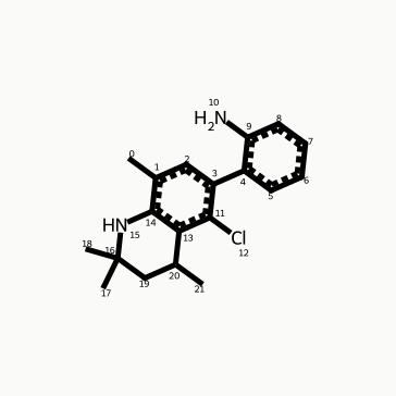 Cc1cc(-c2ccccc2N)c(Cl)c2c1NC(C)(C)CC2C